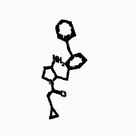 NC1CCN(C(=O)CC2CC2)C1Cc1cccc(-c2ccccc2)c1